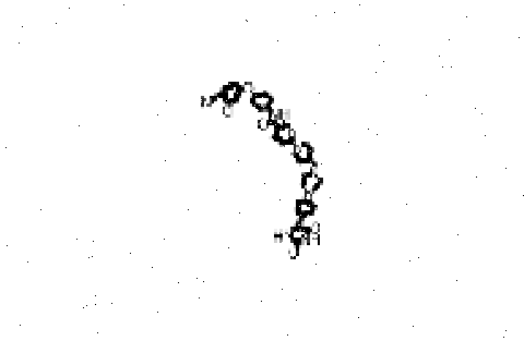 N#Cc1ccc(OC2CCC(NC(=O)c3ccc(N4CCC(CN5CCN(c6ccc(-c7c[nH]c(=O)[nH]c7=O)cc6)CC5)CC4)nn3)CC2)cc1Cl